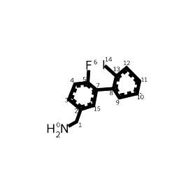 NCc1ccc(F)c(-c2c[c]ccc2I)c1